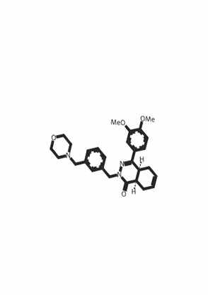 COc1ccc(C2=NN(Cc3cccc(CN4CCOCC4)c3)C(=O)[C@@H]3CC=CC[C@H]23)cc1OC